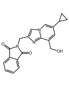 O=C1c2ccccc2C(=O)N1Cc1cn2cc(C3CC3)cc(CO)c2n1